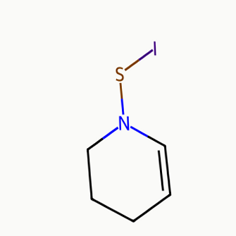 ISN1C=CCCC1